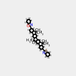 CC1(C)c2cc(-c3nc4ccccc4o3)ccc2-c2cc3c(cc21)-c1cc2c(cc1C3(C)C)-c1ccc(-c3nc4ccccc4s3)cc1C2(C)C